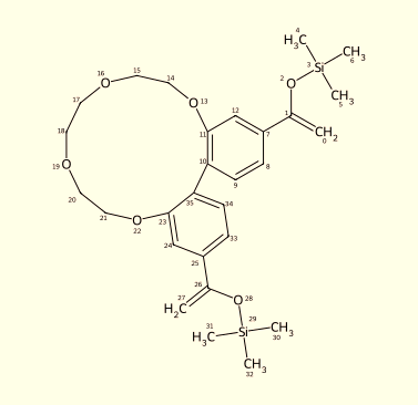 C=C(O[Si](C)(C)C)c1ccc2c(c1)OCCOCCOCCOc1cc(C(=C)O[Si](C)(C)C)ccc1-2